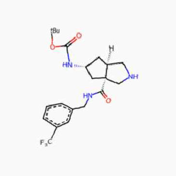 CC(C)(C)OC(=O)N[C@@H]1C[C@H]2CNC[C@@]2(C(=O)NCc2cccc(C(F)(F)F)c2)C1